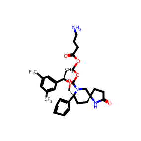 C[C@@H](OC[C@@]1(c2ccccc2)CC[C@]2(CCC(=O)N2)CN1C(=O)OCOC(=O)CCCN)c1cc(C(F)(F)F)cc(C(F)(F)F)c1